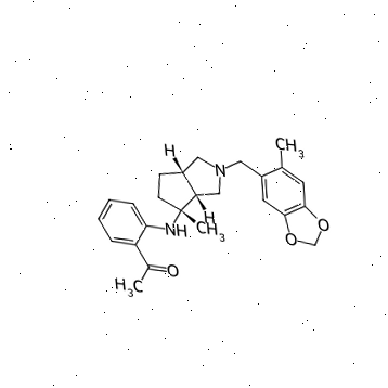 CC(=O)c1ccccc1N[C@]1(C)CC[C@@H]2CN(Cc3cc4c(cc3C)OCO4)C[C@@H]21